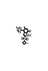 Cc1cc(F)c2[nH]c(S(=O)(=O)[C@@H]3CC[C@@H]3C)cc2c1-c1ncn(C)n1